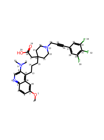 COc1ccc2ncc(N(C)C)c(CCCC3(CC(=O)O)CCN(CC#Cc4cc(F)c(F)c(F)c4)CC3)c2c1